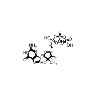 CC1(O)[C@H](F)[C@@H](COP(=O)(O)OP(=O)(O)OP(=O)(O)O)O[C@H]1n1cnc2c(=O)[nH]c(N)nc21